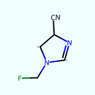 N#CC1[C]N(CF)[C]=N1